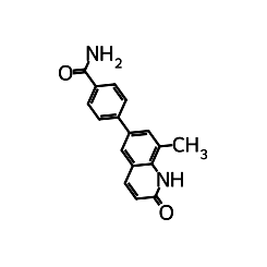 Cc1cc(-c2ccc(C(N)=O)cc2)cc2ccc(=O)[nH]c12